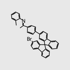 C/C(=N\c1ccccc1C)c1ccc(-c2ccc3c(c2)C2(c4ccccc4-c4ccc(Br)cc42)c2ccccc2-3)cc1